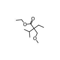 CCOC(=O)C(CC)(COC)C(C)C